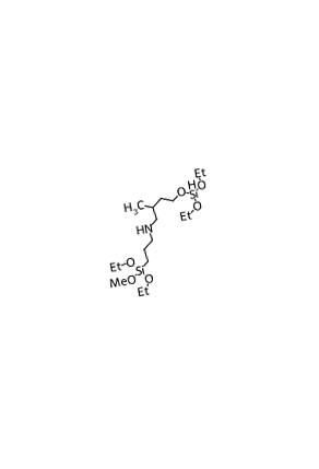 CCO[SiH](OCC)OCCC(C)CNCCC[Si](OC)(OCC)OCC